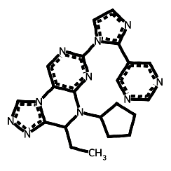 CCC1c2nncn2-c2cnc(-n3ccnc3-c3cncnc3)nc2N1C1CCCC1